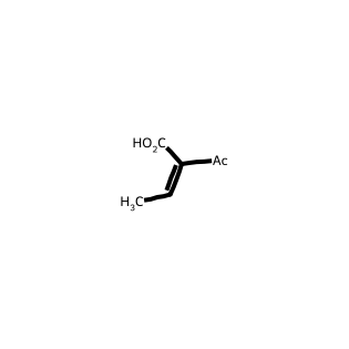 CC=C(C(C)=O)C(=O)O